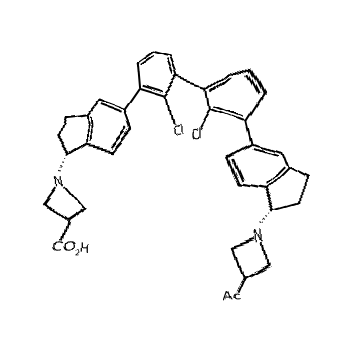 CC(=O)C1CN([C@H]2CCc3cc(-c4cccc(-c5cccc(-c6ccc7c(c6)CC[C@H]7N6CC(C(=O)O)C6)c5Cl)c4Cl)ccc32)C1